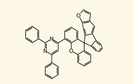 c1ccc(-c2cc(-c3cccc4c3Oc3ccccc3C43c4ccccc4-c4cc5ccoc5cc43)nc(-c3ccccc3)n2)cc1